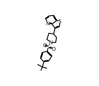 CC(C)(C)c1ccc(S(=O)(=O)N2CCC(c3csc4cccnc34)CC2)cc1